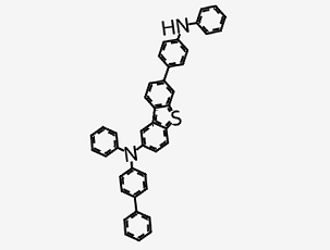 c1ccc(Nc2ccc(-c3ccc4c(c3)sc3ccc(N(c5ccccc5)c5ccc(-c6ccccc6)cc5)cc34)cc2)cc1